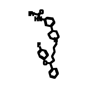 CC(C)C(=O)Nc1cccc(C2CCN(CCCCCC(Oc3ccc(F)cc3)c3ccccc3)CC2)c1